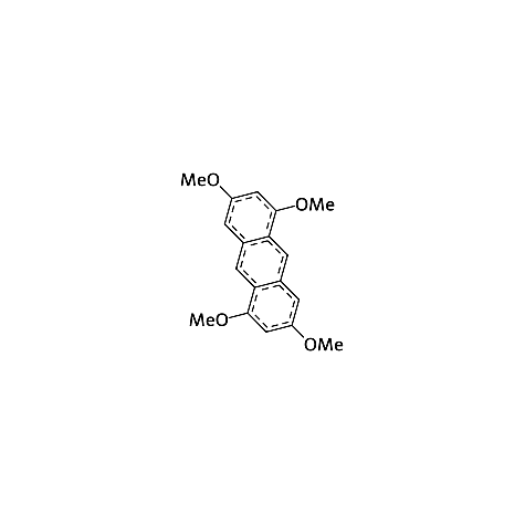 COc1cc(OC)c2cc3cc(OC)cc(OC)c3cc2c1